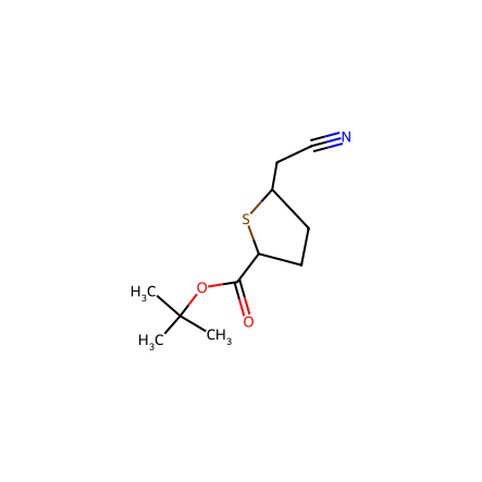 CC(C)(C)OC(=O)C1CCC(CC#N)S1